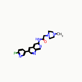 CN1CCN(CC(=O)Nc2cc3cc(-c4ccc(F)nc4)cnc3cn2)CC1